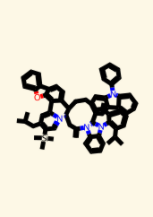 C=C1CC2C(CCc3cc4c(cc3-c3n(-c5c(C(C)C)cccc5C(C)C)c5ccccc5[n+]31)c1ccccc1n4-c1ccccc1)c1ccc3c(oc4ccccc43)c1-c1cc(CC(C)C)c([Si](C)(C)C)c[n+]12